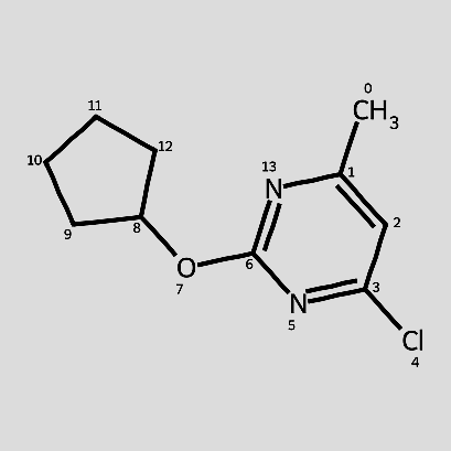 Cc1cc(Cl)nc(OC2CCCC2)n1